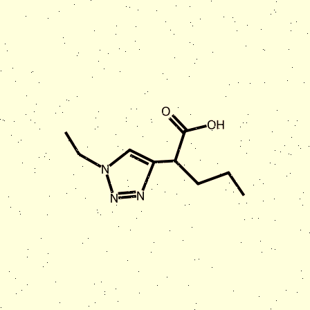 CCCC(C(=O)O)c1cn(CC)nn1